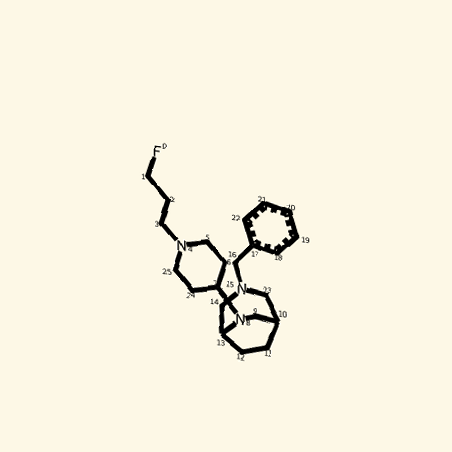 FCCCN1CCC(N2CC3CCC2CN(Cc2ccccc2)C3)CC1